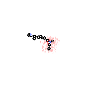 Bc1c(B)c(B)c(-c2c(B)c(B)c(N(c3c(B)c(B)c(B)c(B)c3B)c3c(B)c(B)c(-c4ccc5c(c4)Cc4c-5ccc5cc(-c6ccc(C7=Nc8ccccc8C7)c7ccccc67)ccc45)c(B)c3B)c(B)c2B)c(B)c1B